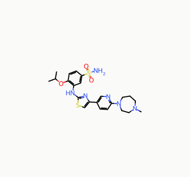 CC(C)Oc1ccc(S(N)(=O)=O)cc1Nc1nc(-c2ccc(N3CCCN(C)CC3)nc2)cs1